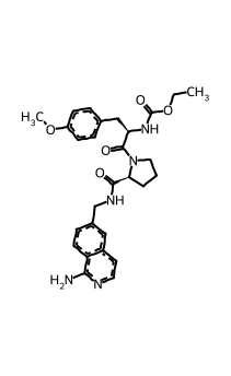 CCOC(=O)N[C@H](Cc1ccc(OC)cc1)C(=O)N1CCC[C@H]1C(=O)NCc1ccc2c(N)nccc2c1